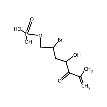 C=C(C)C(=O)C(O)CC(Br)COP(=O)(O)O